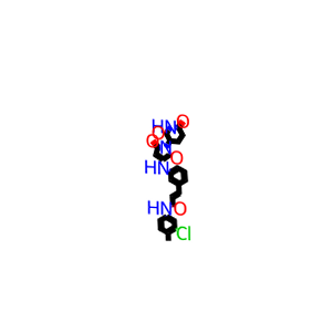 Cc1ccc(NC(=O)/C=C/c2cccc(NC3=CC(=O)N(C4CCC(=O)NC4=O)C3=O)c2)cc1Cl